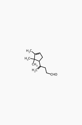 C=C(CCC=O)C1CC=C(C)C1(C)C